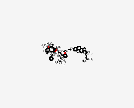 CO[C@H]1C(=O)[C@]2(C)[C@@H](OC)C[C@H]3OC[C@@]3(OC(C)=O)[C@H]2[C@H](OC(=O)c2ccccc2)[C@]2(O)C[C@H](OC(=O)[C@H](OC(=O)COCCO[C@H]3CC[C@@]4(C)C(=CCC5C4CC[C@@]4(C)C5CC[C@@H]4[C@H](C)CCCC(C)C)C3)[C@@H](NC(=O)OC(C)(C)C)c3ccccc3)C(C)=C1C2(C)C